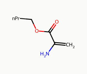 C=C(N)C(=O)OCCCC